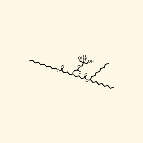 CCCCCCCCCCOC(=O)CCCN(CCCC(=O)OC(CCCCCCCC)CCCCCCCC)CC(=O)OCC(N)(CO)CO